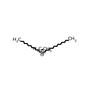 CCCCCCCCCCCCCC[N+]([O-])(CCCCCCCCCCCC)C(C)C